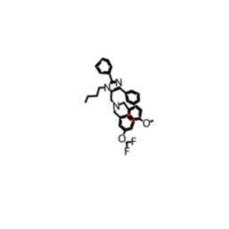 CCCCn1c(-c2ccccc2)nc(-c2ccccc2)c1CN(Cc1ccc(OC)cc1)Cc1cccc(OC(F)F)c1